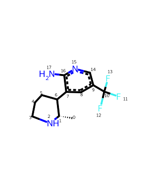 C[C@@H]1NCCCC1c1cc(C(F)(F)F)cnc1N